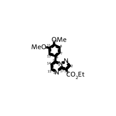 CCOC(=O)c1cnn2c(-c3ccc(OC)c(OC)c3)ccnc12